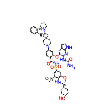 CC(C)c1ccccc1[C@@H]1CCCN1C1CC2(CCN(c3ccc(C(=O)NS(=O)(=O)c4cc5c(c([N+](=O)[O-])c4)N[C@@H]([C@H]4CC[C@](C)(O)CC4)CO5)c(Oc4cc5cc[nH]c5nc4NC(N)=O)c3)CC2)C1